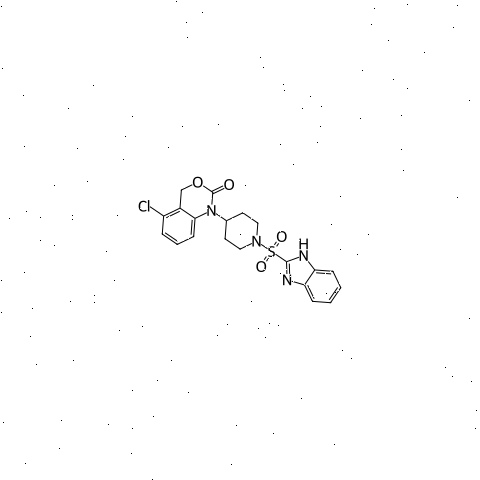 O=C1OCc2c(Cl)cccc2N1C1CCN(S(=O)(=O)c2nc3ccccc3[nH]2)CC1